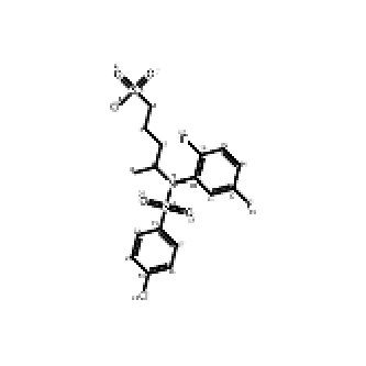 CC(CCCS(=O)(=O)Cl)N(c1cc(F)ccc1F)S(=O)(=O)c1ccc(Cl)cc1